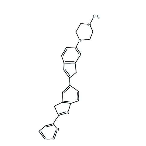 CN1CCN(c2ccc3c(c2)CC(c2ccc4c(c2)CC(c2ccccn2)=N4)=C3)CC1